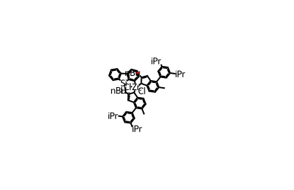 CCCCC1=Cc2c(ccc(C)c2-c2cc(C(C)C)cc(C(C)C)c2)[CH]1[Zr]([Cl])([Cl])([c]1cccc2c1[SiH2]c1ccccc1-2)[CH]1C(CCCC)=Cc2c1ccc(C)c2-c1cc(C(C)C)cc(C(C)C)c1